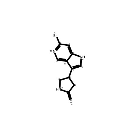 O=C1CC(c2c[nH]c3cc(Br)ncc23)CN1